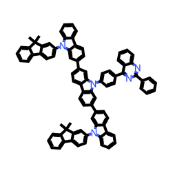 CC1(C)c2ccccc2-c2ccc(-n3c4ccccc4c4ccc(-c5ccc6c7ccc(-c8ccc9c%10ccccc%10n(-c%10ccc%11c(c%10)C(C)(C)c%10ccccc%10-%11)c9c8)cc7n(-c7ccc(-c8nc(-c9ccccc9)nc9ccccc89)cc7)c6c5)cc43)cc21